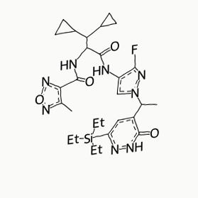 CC[Si](CC)(CC)c1cc(C(C)n2cc(NC(=O)C(NC(=O)c3nonc3C)C(C3CC3)C3CC3)c(F)n2)c(=O)[nH]n1